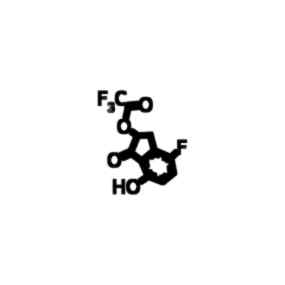 O=C1c2c(O)ccc(F)c2CC1OC(=O)C(F)(F)F